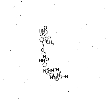 CNc1cc(-n2ccc3cc(C#N)cnc32)ncc1-c1nnc([C@H]2CC[C@H](NC(=O)N3CCC(OCC#Cc4cccc5c4n(C)c(=O)n5C4CCC(=O)NC4=O)CC3)CC2)s1